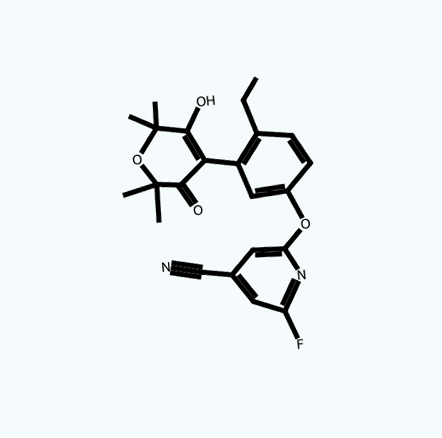 CCc1ccc(Oc2cc(C#N)cc(F)n2)cc1C1=C(O)C(C)(C)OC(C)(C)C1=O